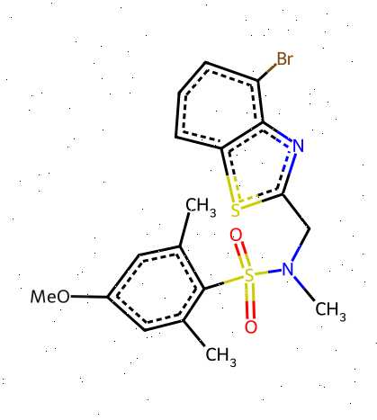 COc1cc(C)c(S(=O)(=O)N(C)Cc2nc3c(Br)cccc3s2)c(C)c1